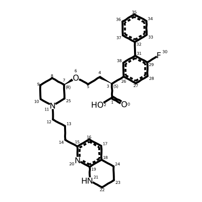 O=C(O)[C@@H](CCO[C@@H]1CCCN(CCCc2ccc3c(n2)NCCC3)C1)c1ccc(F)c(-c2ccccc2)c1